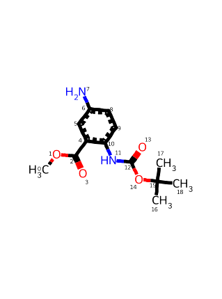 COC(=O)c1cc(N)ccc1NC(=O)OC(C)(C)C